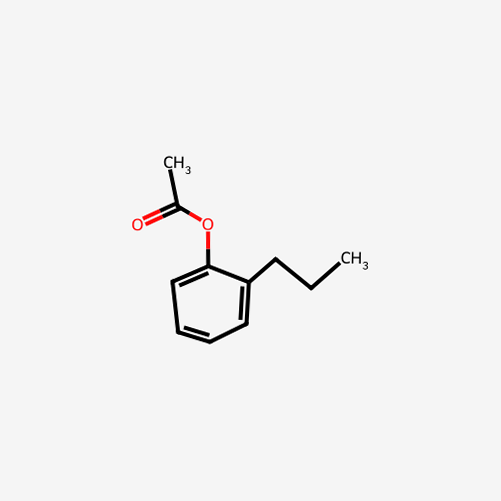 CCCc1ccccc1OC(C)=O